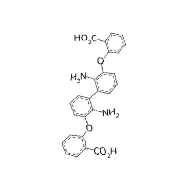 Nc1c(Oc2ccccc2C(=O)O)cccc1-c1cccc(Oc2ccccc2C(=O)O)c1N